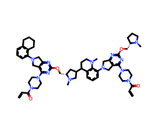 C=CC(=O)N1CCN(c2nc(OC[C@@H]3CC(C4CCN(C)c5c4cccc5N4Cc5nc(OC[C@@H]6CCCN6C)nc(N6CCN(C(=O)C=C)CC6)c5C4)CN3C)nc3c2CN(c2cccc4c2CCCC4)C3)CC1